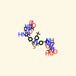 COC(=O)N[C@H](C(=O)N1CCC[C@H]1c1nc(-c2ccc([C@@H]3CSC[C@H](c4ccc(-c5c[nH]c([C@@H]6CCCN6C(=O)[C@H](C(C)C)N(C)C(=O)O)n5)cc4)N3c3ccc(C(C)(C)C)cc3)cc2)c[nH]1)C(C)C